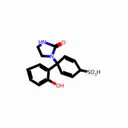 O=C1NCCN1C1(c2ccccc2O)C=CC(S(=O)(=O)O)C=C1